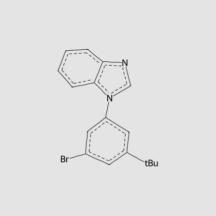 CC(C)(C)c1cc(Br)cc(-n2cnc3ccccc32)c1